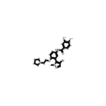 Cn1ncc(Br)c1-c1cc(NC(=O)c2ccc(F)c(F)c2)ccc1OCCN1CCCC1